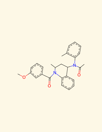 COc1cccc(C(=O)N2c3ccccc3C(N(C(C)=O)c3ccccc3C)CC2C)c1